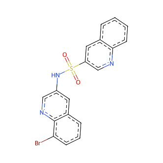 O=S(=O)(Nc1cnc2c(Br)cccc2c1)c1cnc2ccccc2c1